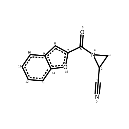 N#CC1CN1C(=O)c1cc2ccccc2o1